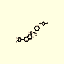 Cn1cc(-c2ccc3cnc(NC(=O)[C@H]4CC[C@@H](CN5CC(F)C5)CC4)cc3c2)cn1